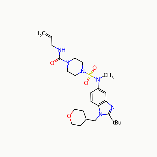 C=CCNC(=O)N1CCN(S(=O)(=O)N(C)c2ccc3c(c2)nc(C(C)(C)C)n3CC2CCOCC2)CC1